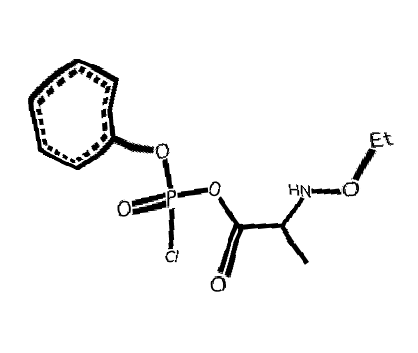 CCONC(C)C(=O)OP(=O)(Cl)Oc1ccccc1